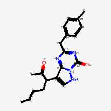 CCCCC(C(C)=O)c1c[nH]n2c(=O)nc(Cc3ccc(C)cc3)nc12